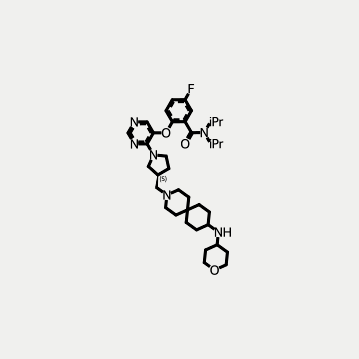 CC(C)N(C(=O)c1cc(F)ccc1Oc1cncnc1N1CC[C@@H](CN2CCC3(CCC(NC4CCOCC4)CC3)CC2)C1)C(C)C